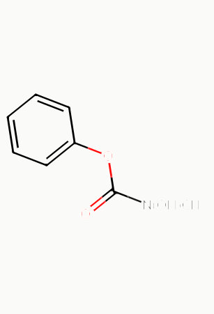 CN(O)C(=O)Oc1ccccc1